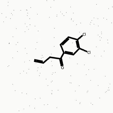 C=CCC(=O)c1ccc(Cl)c(Cl)c1